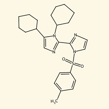 Cc1ccc(S(=O)(=O)n2ccnc2-c2ncc(C3CCCCC3)n2C2CCCCC2)cc1